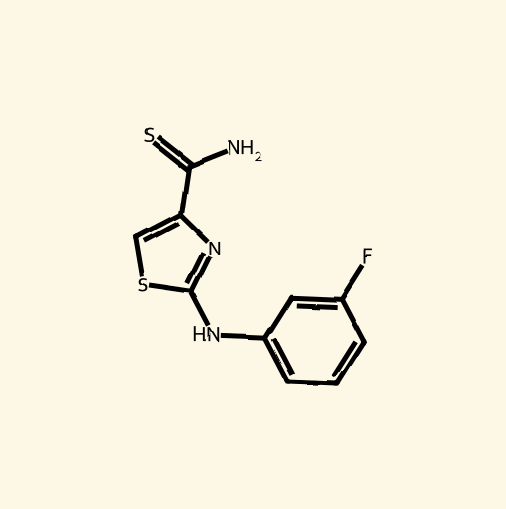 NC(=S)c1csc(Nc2cccc(F)c2)n1